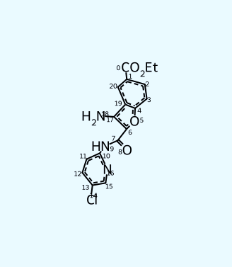 CCOC(=O)c1ccc2oc(C(=O)Nc3ccc(Cl)cn3)c(N)c2c1